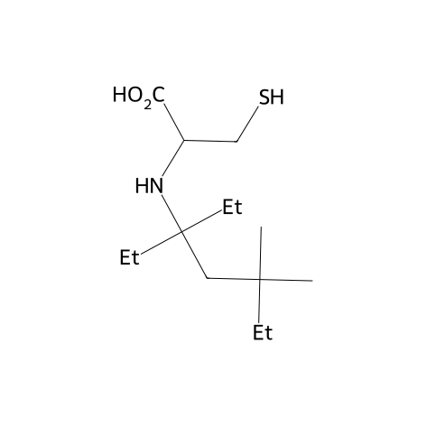 CCC(C)(C)CC(CC)(CC)NC(CS)C(=O)O